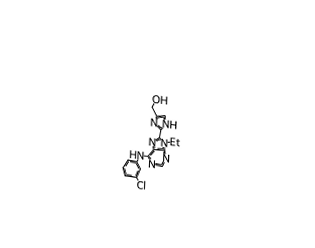 CCn1c(-c2nc(CO)c[nH]2)nc2c(Nc3cccc(Cl)c3)ncnc21